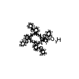 O=S(=O)(O)c1ccc2c3nc4nc(nc5[nH]c(nc6nc(nc([nH]3)c2c1Oc1ccccc1)-c1cccc(Oc2ccccc2)c1-6)c1cccc(Oc2ccccc2)c51)-c1cccc(Oc2ccccc2)c1-4